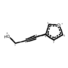 OCC#Cc1ccoc1